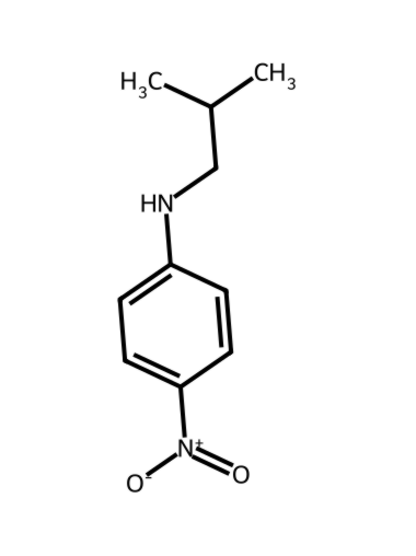 CC(C)CNc1ccc([N+](=O)[O-])cc1